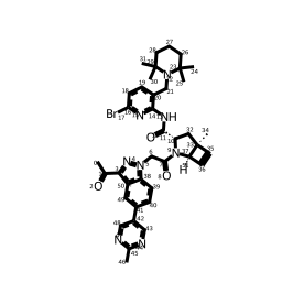 CC(=O)c1nn(CC(=O)N2[C@H](C(=O)Nc3nc(Br)ccc3CN3C(C)(C)CCCC3(C)C)C[C@@]3(C)C#C[C@@H]23)c2ccc(-c3cnc(C)nc3)cc12